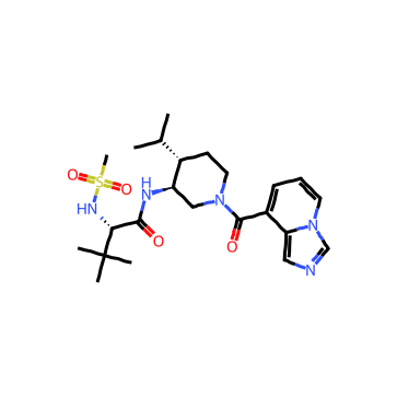 CC(C)[C@@H]1CCN(C(=O)c2cccn3cncc23)C[C@H]1NC(=O)[C@@H](NS(C)(=O)=O)C(C)(C)C